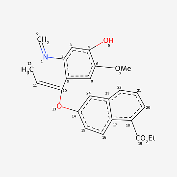 C=Nc1cc(O)c(OC)cc1/C(=C\C)Oc1ccc2c(C(=O)OCC)cccc2c1